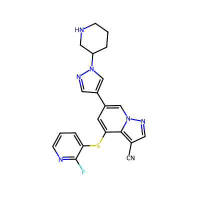 N#Cc1cnn2cc(-c3cnn(C4CCCNC4)c3)cc(Sc3cccnc3F)c12